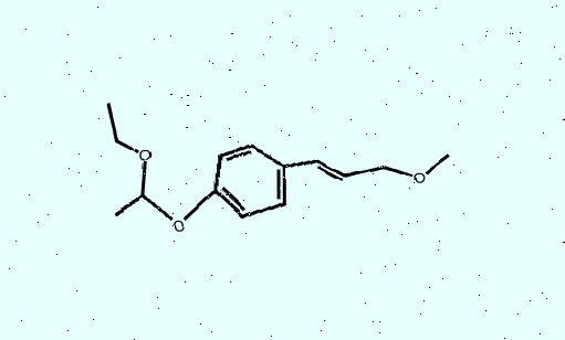 CCOC(C)Oc1ccc(C=CCOC)cc1